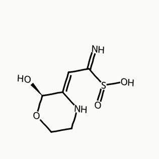 N=C(/C=C1\NCCO[C@H]1O)S(=O)O